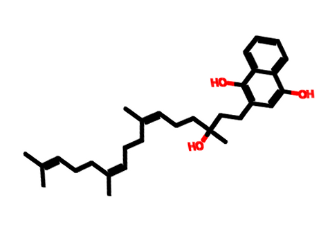 CC(C)=CCCC(C)=CCCC(C)=CCCC(C)(O)CCc1cc(O)c2ccccc2c1O